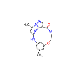 Cc1cc2cc(c1)OCCNC(=O)c1cnn3c(C)cc(nc13)N2